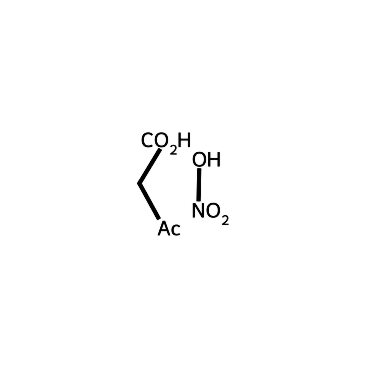 CC(=O)CC(=O)O.O=[N+]([O-])O